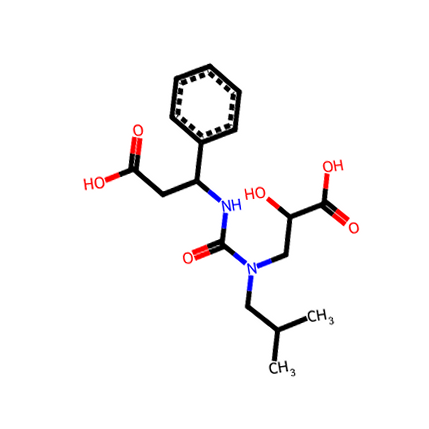 CC(C)CN(CC(O)C(=O)O)C(=O)NC(CC(=O)O)c1ccccc1